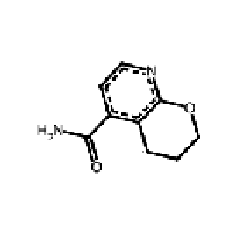 NC(=O)c1ccnc2c1[CH]CCO2